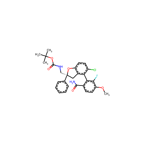 COc1ccc(C(N)=O)c(-c2c(Cl)ccc3c2C[C@@](CNC(=O)OC(C)(C)C)(c2ccccc2)O3)c1F